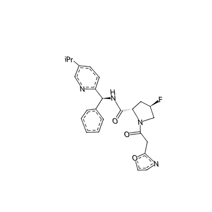 CC(C)c1ccc([C@@H](NC(=O)[C@@H]2C[C@@H](F)CN2C(=O)Cc2ncco2)c2ccccc2)nc1